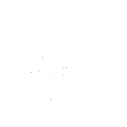 C/C=C(\C)C(=O)O[C@H]1C(C)=C[C@]23C(O)[C@@H](C=C(CO)[C@@H](O)[C@]12O)[C@@H]1C(C)(C)[C@]1(OC(=O)CCCCC)C[C@H]3C